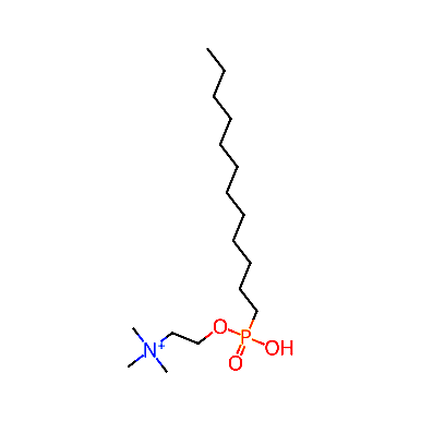 CCCCCCCCCCCCP(=O)(O)OCC[N+](C)(C)C